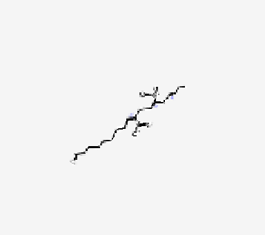 CC/C=C/C/C(=C/C/C(=C/CCCCCCC[C]=O)[N+](=O)[O-])[N+](=O)[O-]